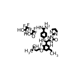 CCc1cc(OCCN(C)C)c(F)c(C(Nc2ccc(C(=N)N)cc2)c2nn(-c3ncccn3)c(=O)[nH]2)c1.O=C(O)C(F)(F)F.O=C(O)C(F)(F)F